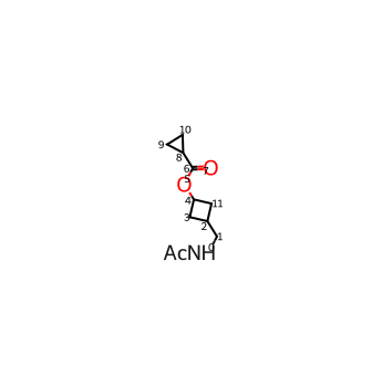 CC(=O)NCC1CC(OC(=O)C2CC2)C1